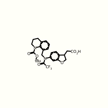 CC(C)(C)OC(=O)N1CCCc2cccc(CN(C(=O)C(F)(F)F)c3ccc4c(c3)OCC4CC(=O)O)c21